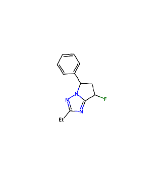 CCc1nc2n(n1)C(c1ccccc1)CC2F